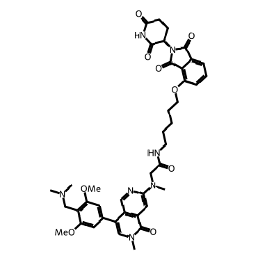 COc1cc(-c2cn(C)c(=O)c3cc(N(C)CC(=O)NCCCCCOc4cccc5c4C(=O)N(C4CCC(=O)NC4=O)C5=O)ncc23)cc(OC)c1CN(C)C